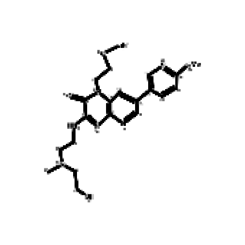 CCCOCCn1c(=O)c(NCCN(C)CCO)nc2ncc(-c3ccc(OC)nc3)cc21